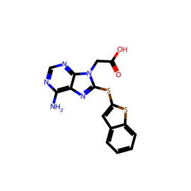 Nc1ncnc2c1nc(Sc1cc3ccccc3s1)n2CC(=O)O